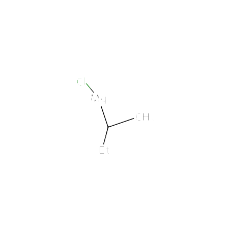 CC[CH](C)[Mg][Cl]